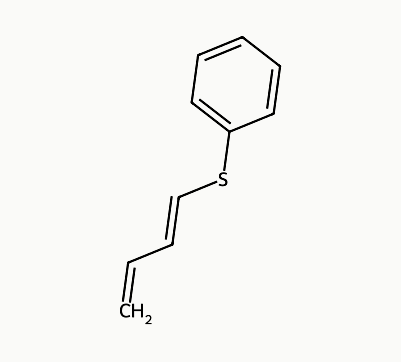 C=CC=CSc1ccccc1